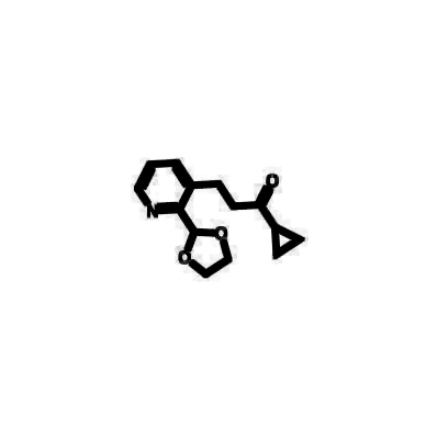 O=C(CCc1cccnc1C1OCCO1)C1CC1